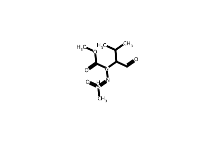 COC(=O)N(/N=[SH](/C)=O)C(C=O)C(C)C